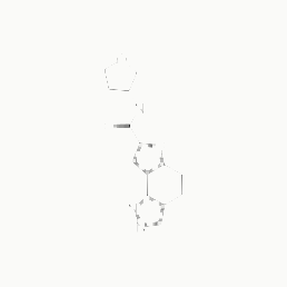 O=C(N[C@@H]1CCOC1)c1cc2c(o1)CCc1c[nH]nc1-2